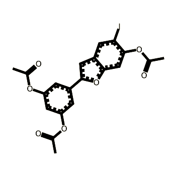 CC(=O)Oc1cc(OC(C)=O)cc(-c2cc3cc(I)c(OC(C)=O)cc3o2)c1